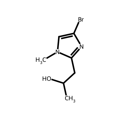 CC(O)Cc1nc(Br)cn1C